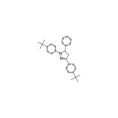 CC(C)(C)c1ccc(C2=NN(c3ccc(C(C)(C)C)cc3)C(c3ccccc3)C2)cc1